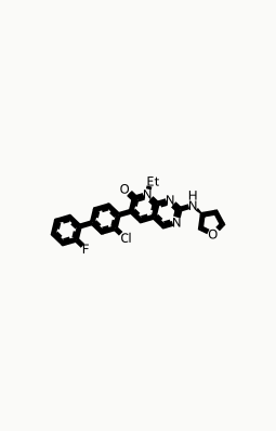 CCn1c(=O)c(-c2ccc(-c3ccccc3F)cc2Cl)cc2cnc(N[C@H]3CCOC3)nc21